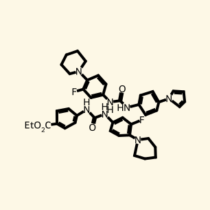 CCOC(=O)c1ccc(NC(=O)Nc2ccc(N3CCCCC3)c(F)c2)cc1.O=C(Nc1ccc(-n2cccc2)cc1)Nc1ccc(N2CCCCC2)c(F)c1